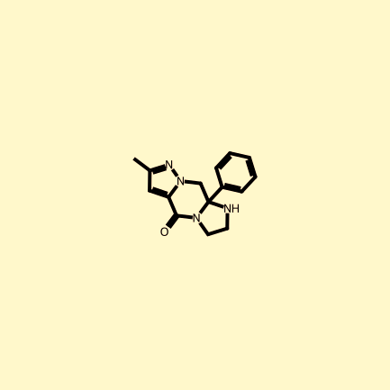 Cc1cc2n(n1)CC1(c3ccccc3)NCCN1C2=O